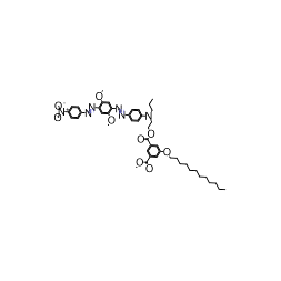 CCCCCCCCCCCCOc1cc(C(=O)OC)cc(C(=O)OCCN(CCC)c2ccc(/N=N/c3cc(OC)c(/N=N/c4ccc([N+](=O)[O-])cc4)cc3OC)cc2)c1